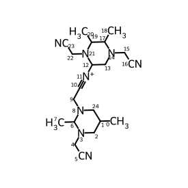 CC1CN(CC#N)C(C)N(CC#[N+]C2CN(CC#N)C(C)C(C)N2CC#N)C1